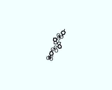 Cc1ccc(OC(=O)Oc2cccc3c2C2(CC3)CCc3cccc(OC(=O)Oc4ccc([N+](=O)[O-])cc4)c32)cc1